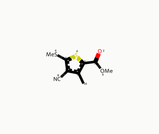 COC(=O)c1sc(SC)c(C#N)c1C